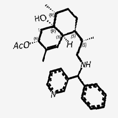 CC(=O)O[C@@H]1[C][C@@]2(O)[C@H](C)CC[C@@H]([C@H](C)CNC(c3ccccc3)c3cccnc3)[C@H]2C=C1C